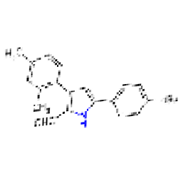 Cc1ccc(-c2cc(-c3ccc(C(C)(C)C)cc3)[nH]c2C=O)c(C)c1